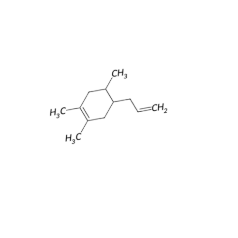 C=CCC1CC(C)=C(C)CC1C